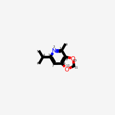 Cc1nc(C(C)C)cc2c1OCO2